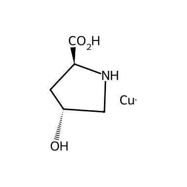 O=C(O)[C@@H]1C[C@@H](O)CN1.[Cu]